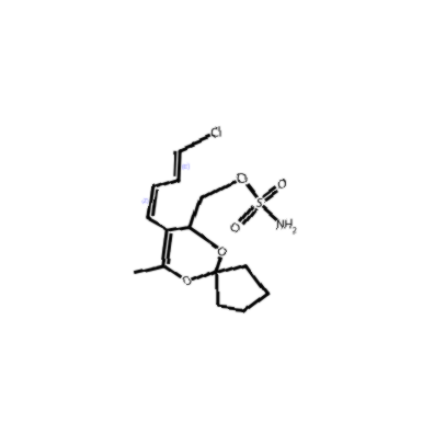 CC1=C(/C=C\C=C\Cl)C(COS(N)(=O)=O)OC2(CCCC2)O1